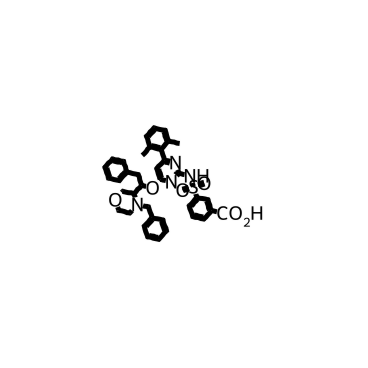 Cc1cccc(C)c1-c1cc(OC(Cc2ccccc2)C2COCCN2Cc2ccccc2)nc(NS(=O)(=O)c2cccc(C(=O)O)c2)n1